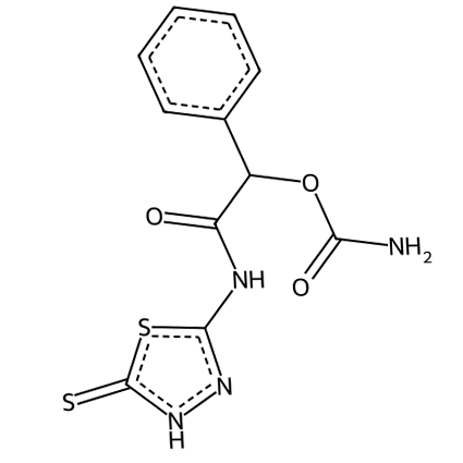 NC(=O)OC(C(=O)Nc1n[nH]c(=S)s1)c1ccccc1